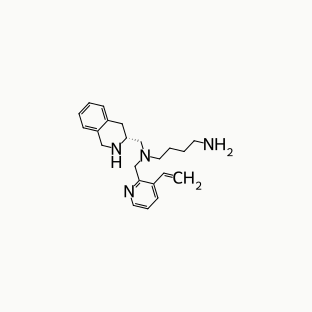 C=Cc1cccnc1CN(CCCCN)C[C@H]1Cc2ccccc2CN1